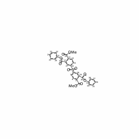 COC(=O)c1ccc(S(=O)(=O)c2ccc(C(=O)OC)c(C(=O)Oc3ccccc3)c2)cc1C(=O)Oc1ccccc1